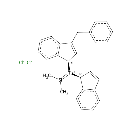 C[Si](C)=[Ti+2]([C@@H]1C=C(Cc2ccccc2)c2ccccc21)[C@H]1C=Cc2ccccc21.[Cl-].[Cl-]